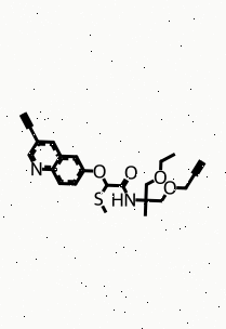 C#CCOCC(C)(COCC)NC(=O)C(Oc1ccc2ncc(C#C)cc2c1)SC